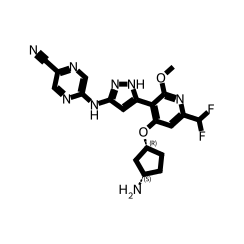 COc1nc(C(F)F)cc(O[C@@H]2CC[C@H](N)C2)c1-c1cc(Nc2cnc(C#N)cn2)n[nH]1